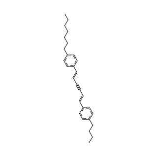 CCCCCCCc1ccc(C=CC#CC=Cc2ccc(CCCC)cc2)cc1